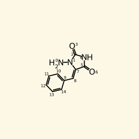 NN1C(=O)NC(=O)/C1=C/c1ccccc1